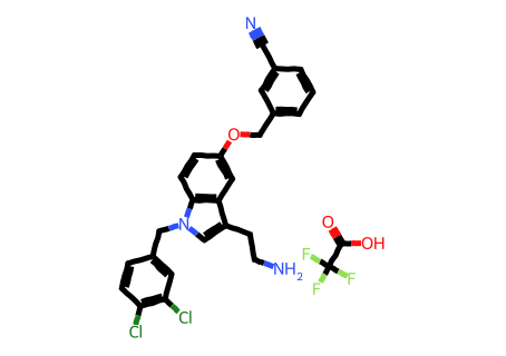 N#Cc1cccc(COc2ccc3c(c2)c(CCN)cn3Cc2ccc(Cl)c(Cl)c2)c1.O=C(O)C(F)(F)F